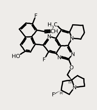 C#Cc1c(F)ccc2cc(O)cc(-c3nc4c5c(nc(OC[C@@]67CCCN6C[C@H](F)C7)nc5c3F)N3CCCCC3=C4C)c12